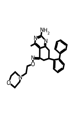 Cc1nc(N)nc2c1C(=NOCCN1CCOCC1)CC(c1ccccc1-c1ccccc1)C2